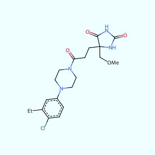 CCc1cc(N2CCN(C(=O)CCC3(COC)NC(=O)NC3=O)CC2)ccc1Cl